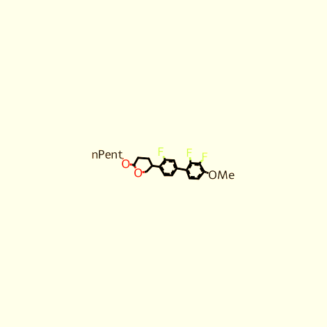 CCCCCOC1CCC(c2ccc(-c3ccc(OC)c(F)c3F)cc2F)CO1